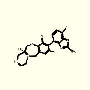 Nc1nc2c(-c3c(Cl)cc4c(c3Cl)OC[C@@H]3CNCCN3C4)ccc(F)c2s1